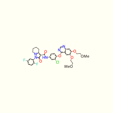 COCCOc1cc2ncnc(Oc3ccc(NC(=O)c4c5n(n(-c6cc(F)ccc6F)c4=O)CCCC5)cc3Cl)c2cc1OCCOC